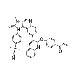 C=CC(=O)c1ccc(Oc2nc3ccccc3cc2-c2ccc3ncc4c(c3c2)n(-c2ccc(C(C)(C)C#N)cc2)c(=O)n4C)cc1